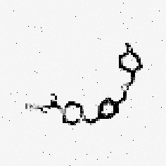 CN1CCC(COCc2ccc(CN3CCN(C(=O)OC(C)(C)C)CC3)cc2)CC1